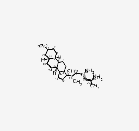 CCC[C@H]1CC[C@@H]2C3CC[C@@]4(C)C(CCC4[C@@H](C)CN(N)/N=C(/C)N)[C@@H]3CC[C@@H]2C1